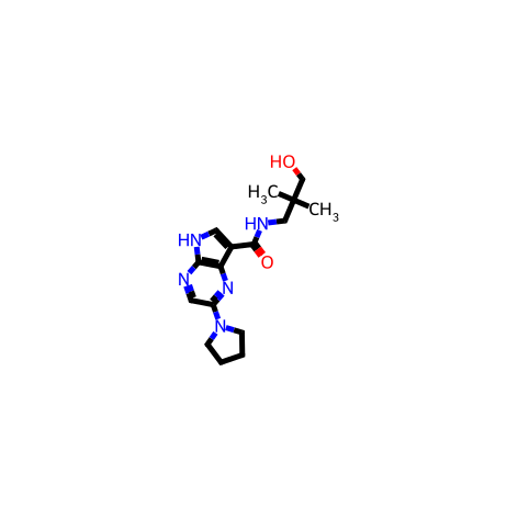 CC(C)(CO)CNC(=O)c1c[nH]c2ncc(N3CCCC3)nc12